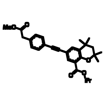 COC(=O)Cc1ccc(C#Cc2cc(C(=O)OC(C)C)c3c(c2)C(C)(C)CC(C)(C)O3)cc1